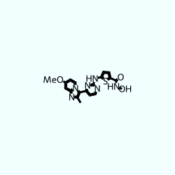 COc1ccn2c(-c3ccnc(Nc4ccc(C(=O)NO)s4)n3)c(C)nc2c1